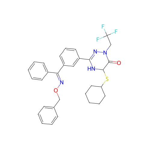 O=C1C(SC2CCCCC2)NC(c2cccc(C(=NOCc3ccccc3)c3ccccc3)c2)=NN1CC(F)(F)F